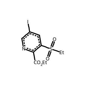 CCOC(=O)c1ncc(I)cc1S(=O)(=O)CC